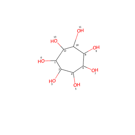 OC1C(O)C(O)C(O)C(O)C(O)C1O